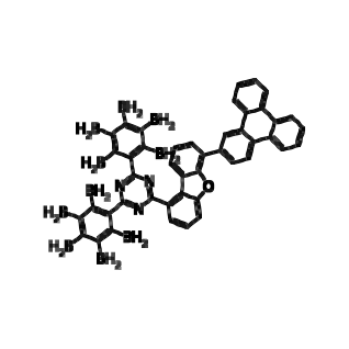 Bc1c(B)c(B)c(-c2nc(-c3c(B)c(B)c(B)c(B)c3B)nc(-c3cccc4oc5c(-c6ccc7c8ccccc8c8ccccc8c7c6)cccc5c34)n2)c(B)c1B